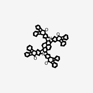 O=C1c2cc3c(cc2C2c4ccccc4C24c2ccccc2C14)c1c2ccc4c5c(ccc(c25)c2c5cc6c(cc5n3c12)C(=O)C1c2ccccc2C12c1ccccc1C62)c1c2cc3c(cc2n2c5cc6c(cc5c4c12)C1c2ccccc2C12c1ccccc1C2C6=O)C(=O)C1c2ccccc2C12c1ccccc1C32